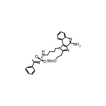 COCCc1nc2c(N)nc3ccccc3c2n1CCCCNS(=O)(=O)/N=C(\C)c1ccccc1